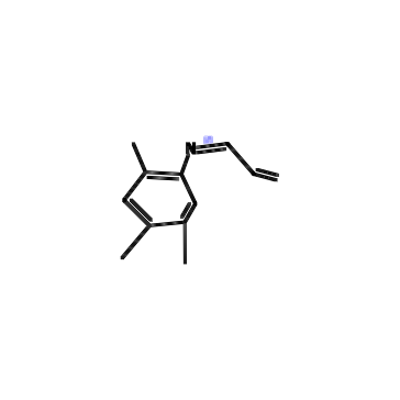 C=C/C=N\c1cc(C)c(C)cc1C